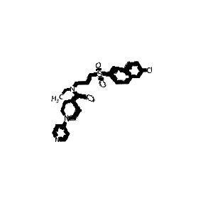 CCN(CCCS(=O)(=O)c1ccc2cc(Cl)ccc2c1)C(=O)C1CCN(c2ccncc2)CC1